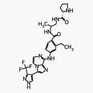 CCc1cc(Nc2nccn3c(-c4c[nH]nc4C(F)(F)F)cnc23)ccc1C(=O)NC(C)CNC(=O)[C@@H]1CCCN1